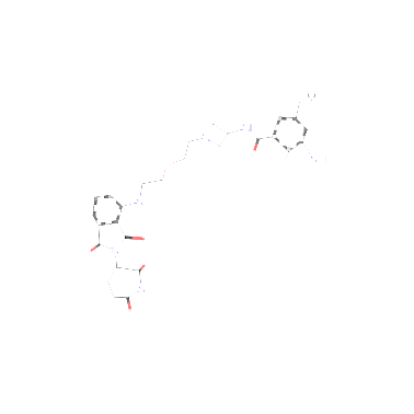 COc1cc(N)c(F)c(C(=O)NC2CN(CCOCCNc3cccc4c3C(=O)N(C3CCC(=O)NC3=O)C4=O)C2)c1